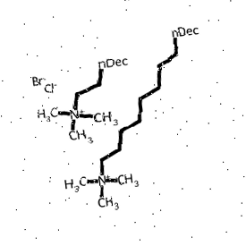 CCCCCCCCCCCCCCCCCC[N+](C)(C)C.CCCCCCCCCCCC[N+](C)(C)C.[Br-].[Cl-]